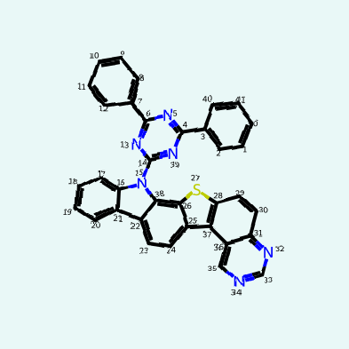 c1ccc(-c2nc(-c3ccccc3)nc(-n3c4ccccc4c4ccc5c(sc6ccc7ncncc7c65)c43)n2)cc1